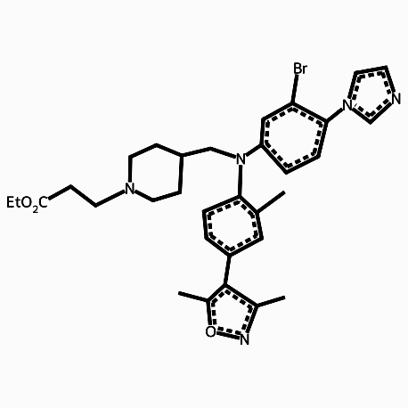 CCOC(=O)CCN1CCC(CN(c2ccc(-n3ccnc3)c(Br)c2)c2ccc(-c3c(C)noc3C)cc2C)CC1